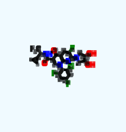 O=C(NC(C1CC1)C(F)(F)F)c1cn(-c2c(F)cc(F)cc2Cl)c2nc(N3C[C@@H](O)[C@H](O)C3)c(F)cc2c1=O